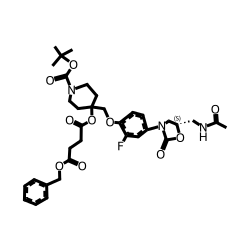 CC(=O)NC[C@H]1CN(c2ccc(OCC3(OC(=O)CCC(=O)OCc4ccccc4)CCN(C(=O)OC(C)(C)C)CC3)c(F)c2)C(=O)O1